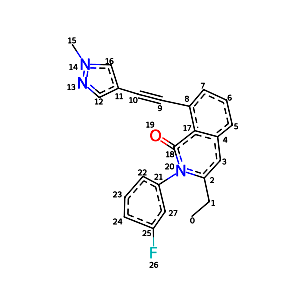 CCc1cc2cccc(C#Cc3cnn(C)c3)c2c(=O)n1-c1cccc(F)c1